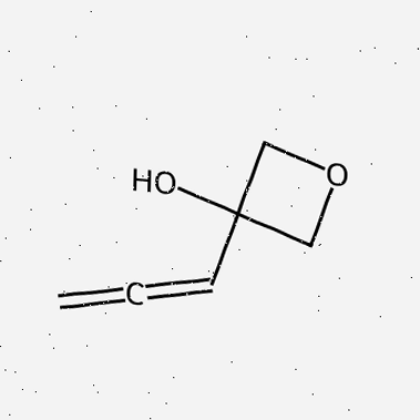 C=C=CC1(O)COC1